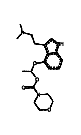 CC(OC(=O)N1CCOCC1)Oc1cccc2[nH]cc(CCN(C)C)c12